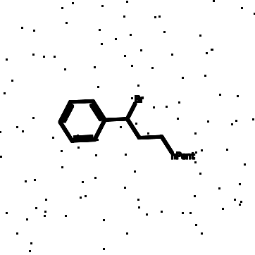 CCCCCCCC(Br)c1[c]cccc1